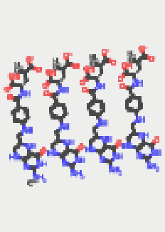 C=C(C[C@H](NC(=O)c1ccc(NCC2CNc3nc(N)[nH]c(=O)c3N2)cc1)C(=O)O)C(=O)[O-].C=C(C[C@H](NC(=O)c1ccc(NCC2CNc3nc(N)[nH]c(=O)c3N2)cc1)C(=O)O)C(=O)[O-].C=C(C[C@H](NC(=O)c1ccc(NCC2CNc3nc(N)[nH]c(=O)c3N2)cc1)C(=O)O)C(=O)[O-].C=C(C[C@H](NC(=O)c1ccc(NCC2CNc3nc(N)[nH]c(=O)c3N2)cc1)C(=O)O)C(=O)[O-].[C+4]